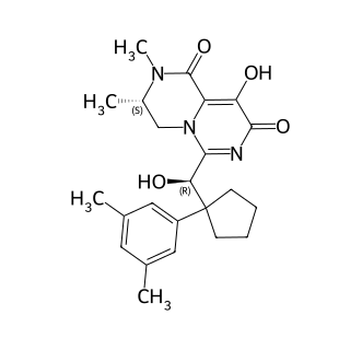 Cc1cc(C)cc(C2([C@@H](O)c3nc(=O)c(O)c4n3C[C@H](C)N(C)C4=O)CCCC2)c1